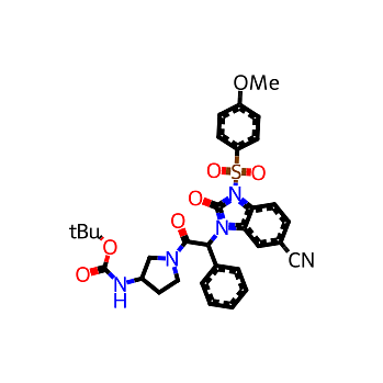 COc1ccc(S(=O)(=O)n2c(=O)n(C(C(=O)N3CCC(NC(=O)OC(C)(C)C)C3)c3ccccc3)c3cc(C#N)ccc32)cc1